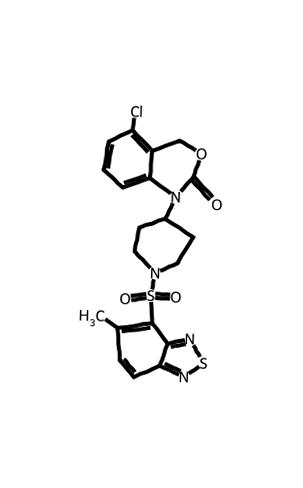 Cc1ccc2nsnc2c1S(=O)(=O)N1CCC(N2C(=O)OCc3c(Cl)cccc32)CC1